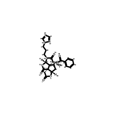 CC(C)(C)[C@]1(O)C[C@@H]2OC(=O)C[C@@]23C(=O)O[C@@H]2N(CCCn4cncn4)C(=O)[C@H](OC(=O)c4ccccc4)[C@]213